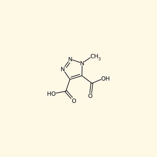 Cn1nnc(C(=O)O)c1C(=O)O